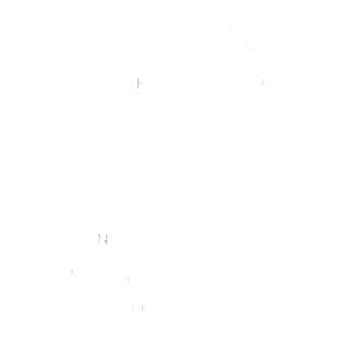 CC(C)(C)OC(=O)N1CCC(CCCC(F)(F)c2ccc(S(C)(=O)=O)cc2)CC1